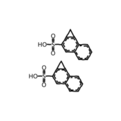 O=S(=O)(O)c1cc2ccccc2c2c1C2.O=S(=O)(O)c1cc2ccccc2c2c1C2